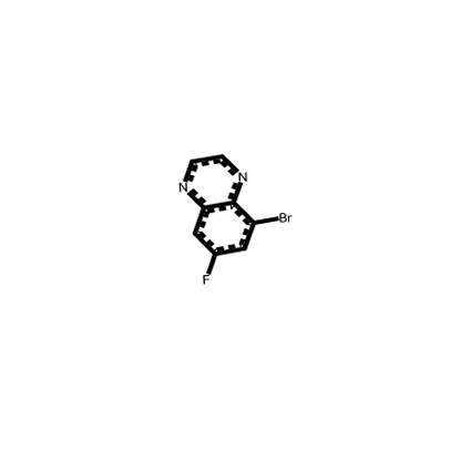 Fc1cc(Br)c2nccnc2c1